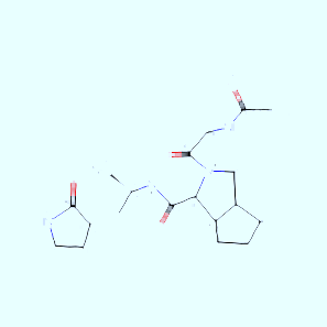 CC(C)(C)[C@H](NC(=O)C(F)(F)F)C(=O)N1CC2CCCC2C1C(=O)N[C@H](C#N)C[C@@H]1CCNC1=O